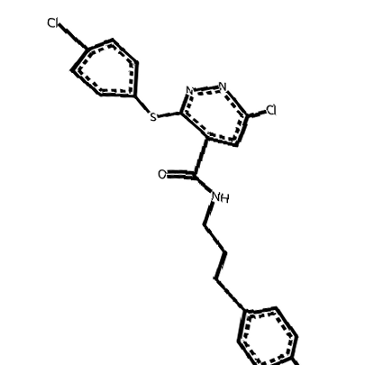 O=C(NCCCc1ccc(Cl)cc1)c1cc(Cl)nnc1Sc1ccc(Cl)cc1